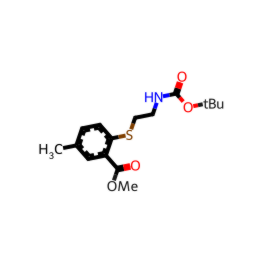 COC(=O)c1cc(C)ccc1SCCNC(=O)OC(C)(C)C